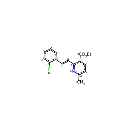 CCOC(=O)c1ccc(C)nc1/C=C/c1ccccc1Cl